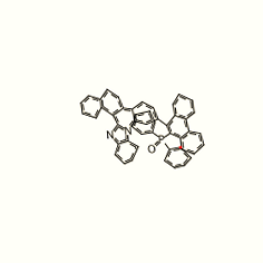 O=P(c1ccccc1)(c1ccccc1)c1c(-c2ccc3c4ccc5ccccc5c4c4nc5ccccc5n4c3c2)c2ccccc2c2ccccc12